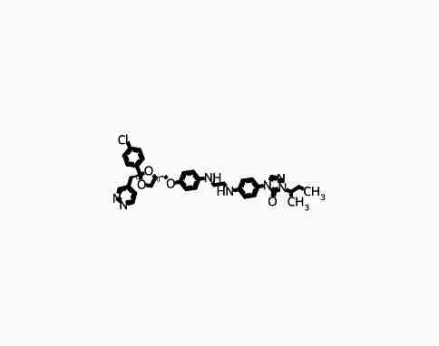 CCC(C)n1ncn(-c2ccc(NCCNc3ccc(OC[C@@H]4CO[C@](Cc5ccnnc5)(c5ccc(Cl)cc5)O4)cc3)cc2)c1=O